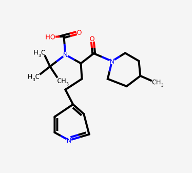 CC1CCN(C(=O)C(CCc2ccncc2)N(C(=O)O)C(C)(C)C)CC1